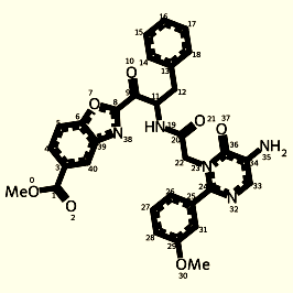 COC(=O)c1ccc2oc(C(=O)C(Cc3ccccc3)NC(=O)Cn3c(-c4cccc(OC)c4)ncc(N)c3=O)nc2c1